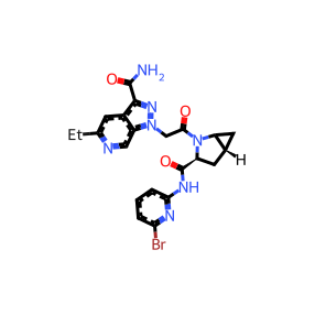 CCc1cc2c(C(N)=O)nn(CC(=O)N3C4C[C@@H]4C[C@H]3C(=O)Nc3cccc(Br)n3)c2cn1